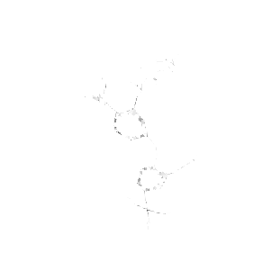 CNOS(=O)(=O)N(C)c1cc(Oc2ccc(C(F)(F)F)cc2Cl)ccc1[N+](=O)[O-]